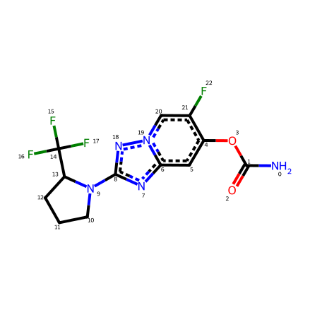 NC(=O)Oc1cc2nc(N3CCCC3C(F)(F)F)nn2cc1F